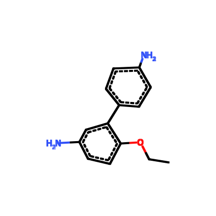 CCOc1ccc(N)cc1-c1ccc(N)cc1